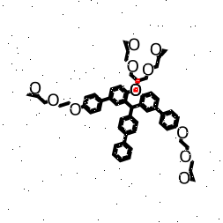 c1ccc(-c2ccc(C(c3cc(-c4ccc(OCCOCC5CO5)cc4)ccc3OCCOCC3CO3)c3cc(-c4ccc(OCCOCC5CO5)cc4)ccc3OCCOCC3CO3)cc2)cc1